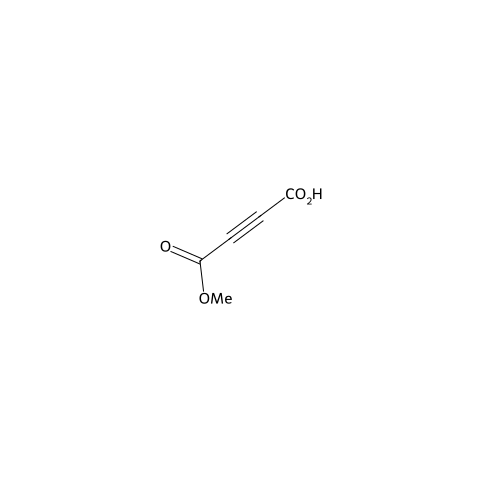 COC(=O)C#CC(=O)O